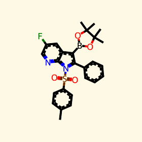 Cc1ccc(S(=O)(=O)n2c(-c3ccccc3)c(B3OC(C)(C)C(C)(C)O3)c3cc(F)cnc32)cc1